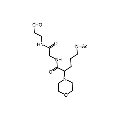 CC(=O)NCCCC(C(=O)NCC(=O)NCCC=O)N1CCOCC1